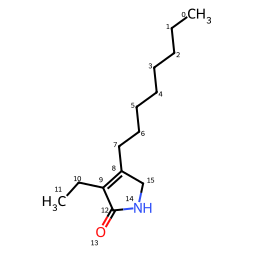 CCCCCCCCC1=C(CC)C(=O)NC1